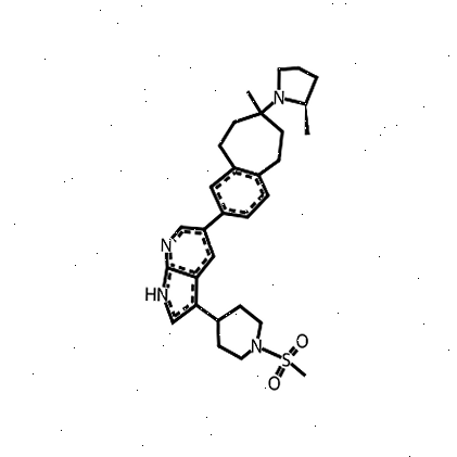 C[C@@H]1CCCN1C1(C)CCc2ccc(-c3cnc4[nH]cc(C5CCN(S(C)(=O)=O)CC5)c4c3)cc2CC1